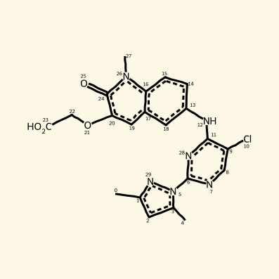 Cc1cc(C)n(-c2ncc(Cl)c(Nc3ccc4c(c3)cc(OCC(=O)O)c(=O)n4C)n2)n1